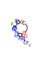 O=C(NCC(F)(F)F)c1ccc2cc1OCCCCCCOc1cncc(c1)-c1nc(ncc1F)N2